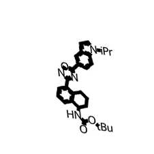 CC(C)n1ccc2cc(-c3nc(-c4cccc5c4CCCC5NC(=O)OC(C)(C)C)no3)ccc21